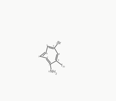 NC1=C\C=C\C=C(Br)/C=C\1I